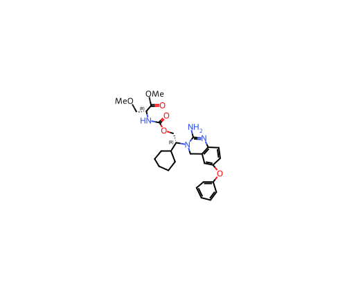 COC[C@@H](NC(=O)OC[C@@H](C1CCCCC1)N1Cc2cc(Oc3ccccc3)ccc2N=C1N)C(=O)OC